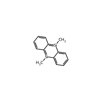 C[si]1c2ccccc2[si](C)c2ccccc21